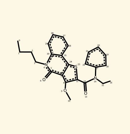 CCCCn1c(=O)c2c(OC)c(C(=O)N(CC)c3ccccc3)sc2c2ccccc21